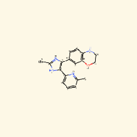 Cc1cccc(-c2[nH]c(C(C)(C)C)nc2-c2ccc3c(c2)OCCN3)n1